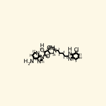 CC(C)N(CCCCc1nc2cccc(Cl)c2[nH]1)C[C@H]1O[C@@H](n2cnc3c(N)ccnc32)[C@H](O)[C@@H]1O